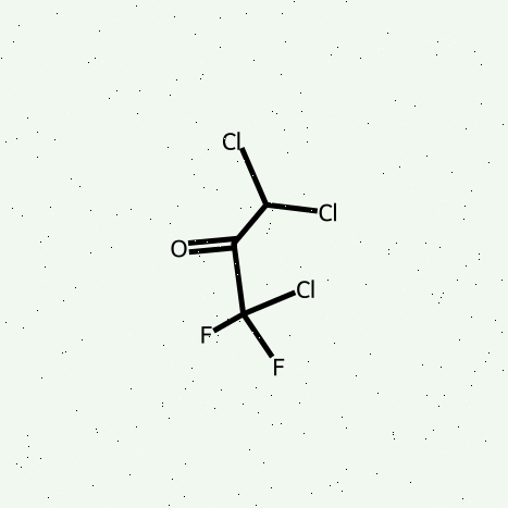 O=C(C(Cl)Cl)C(F)(F)Cl